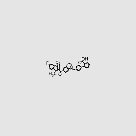 Cc1cc(F)ccc1C(C)NC(=O)c1ccc2c(c1)CCCN2Cc1ccc(-c2ccccc2C(=O)O)cc1